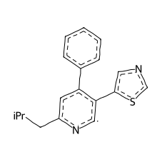 CC(C)Cc1cc(-c2ccccc2)c(-c2cncs2)[c]n1